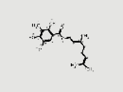 CC(C)=CCC/C(C)=C/COC(=O)c1cc(C)c(O)c(C)c1O